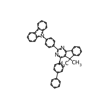 CC1(C)c2ccccc2-c2nc(-c3ccc(-n4c5ccccc5c5ccccc54)cc3)nc(-c3ccc(-c4ccccc4)cc3)c21